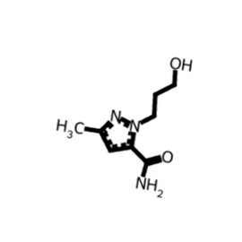 Cc1cc(C(N)=O)n(CCCO)n1